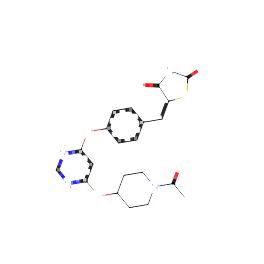 CC(=O)N1CCC(Oc2cc(Oc3ccc(/C=C4/SC(=O)NC4=O)cc3)ncn2)CC1